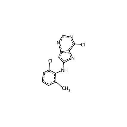 Cc1cccc(Cl)c1Nc1nc2c(Cl)ncnc2s1